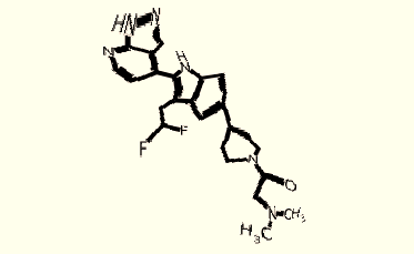 CN(C)CC(=O)N1CCC(c2ccc3[nH]c(-c4ccnc5[nH]ncc45)c(CC(F)F)c3c2)CC1